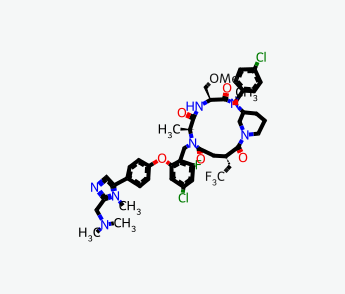 COC[C@@H]1NC(=O)[C@H](C)N(Cc2c(F)cc(Cl)cc2Oc2ccc(-c3cnc(CN(C)C)n3C)cc2)C(=O)C[C@@H](CC(F)(F)F)C(=O)N2CCC[C@@](Cc3ccc(Cl)cc3)(C2)N(C)C1=O